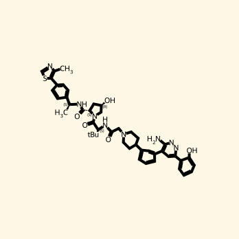 Cc1ncsc1-c1ccc([C@H](C)NC(=O)[C@@H]2C[C@@H](O)CN2C(=O)[C@@H](NC(=O)CN2CCC(c3cccc(-c4cc(-c5ccccc5O)nnc4N)c3)CC2)C(C)(C)C)cc1